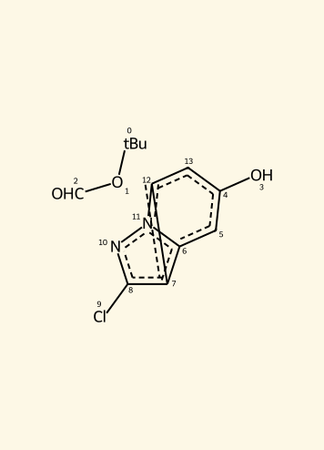 CC(C)(C)OC=O.Oc1cc2c3c(Cl)nn2c3c1